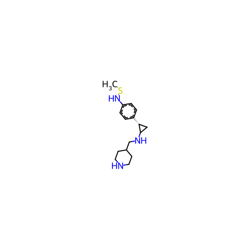 CSNc1ccc([C@@H]2CC2NCC2CCNCC2)cc1